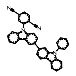 N#Cc1ccc(C#N)c(-n2c3ccccc3c3cc(-c4ccc5c6ccccc6n(-c6ccccc6)c5c4)ccc32)c1